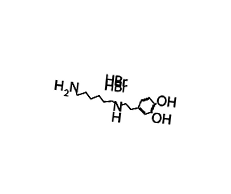 Br.Br.NCCCCCCNCCc1ccc(O)c(O)c1